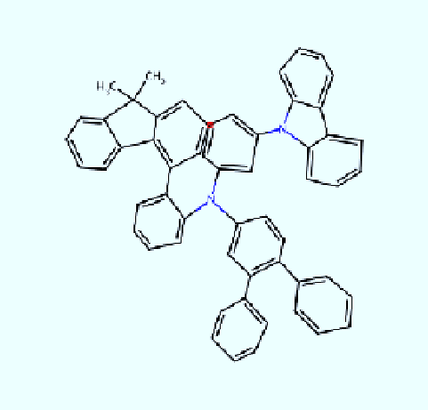 CC1(C)c2ccccc2-c2c(-c3ccccc3N(c3cccc(-n4c5ccccc5c5ccccc54)c3)c3ccc(-c4ccccc4)c(-c4ccccc4)c3)cccc21